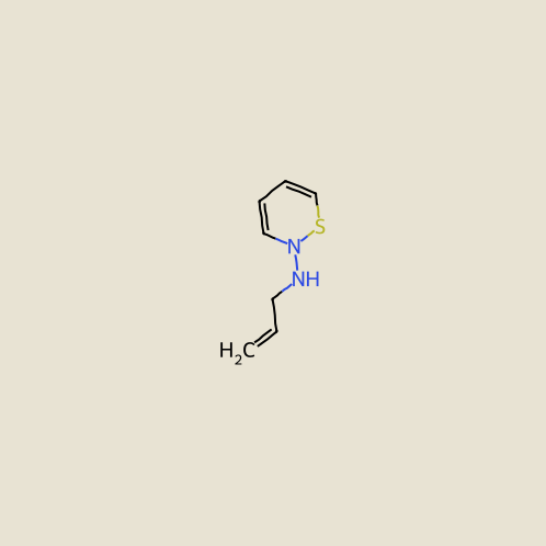 C=CCNN1C=CC=CS1